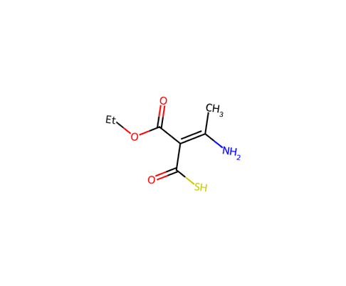 CCOC(=O)/C(C(=O)S)=C(\C)N